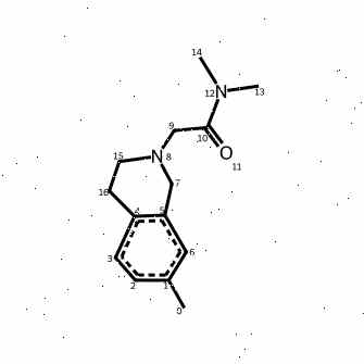 Cc1ccc2c(c1)CN(CC(=O)N(C)C)CC2